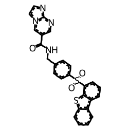 O=C(NCc1ccc(S(=O)(=O)c2cccc3c2sc2ccccc23)cc1)c1cnc2nccn2c1